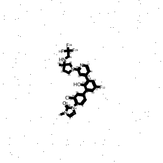 Cn1ccn(-c2ccc(-c3cc(F)cc(-c4ccnc(N5CCC(C)(NCC(F)(F)F)C5)c4)c3O)cc2Cl)c1=O